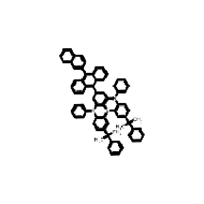 CC(C)(c1ccccc1)c1ccc2c(c1)B1c3cc(C(C)(C)c4ccccc4)ccc3N(c3ccccc3)c3cc(-c4c5ccccc5c(-c5ccc6ccccc6c5)c5ccccc45)cc(c31)N2C1=CC=CCC1